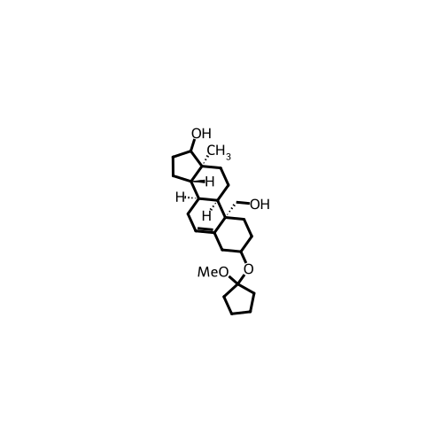 COC1(OC2CC[C@@]3(CO)C(=CC[C@@H]4[C@H]3CC[C@]3(C)C(O)CC[C@@H]43)C2)CCCC1